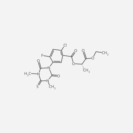 CCOC(=O)[C@H](C)OC(=O)c1cc(-n2c(=O)n(C)c(=S)n(C)c2=O)c(F)cc1Cl